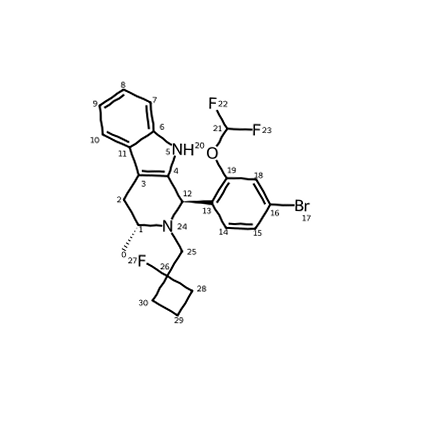 C[C@@H]1Cc2c([nH]c3ccccc23)[C@@H](c2ccc(Br)cc2OC(F)F)N1CC1(F)CCC1